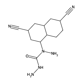 N#CC1CCC2C(C1)CC(C#N)CC2N(N)C(=O)NN